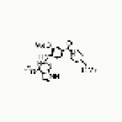 CCOc1nc(Nc2ccc(C(=O)N3CCC(COC)CC3)cc2OC)nc2[nH]ccc12